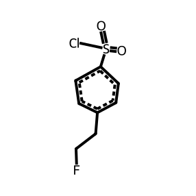 O=S(=O)(Cl)c1ccc(CCF)cc1